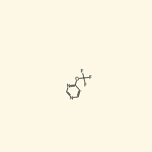 FC(F)(F)Oc1[c]cncn1